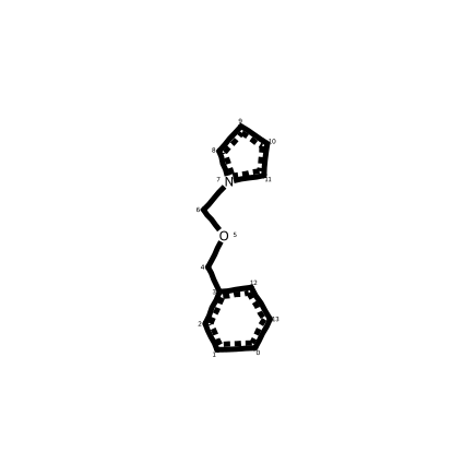 c1ccc(COCn2cccc2)cc1